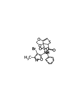 Cc1noc(NS(=O)(=O)C23OCOC2=CSC3C(=O)Oc2ccccc2)c1Br